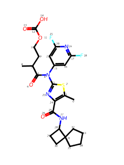 Cc1sc(N(C(=O)C(C)CCOC(=O)O)c2cc(F)nc(F)c2)nc1C(=O)NC1CCC12CCCC2